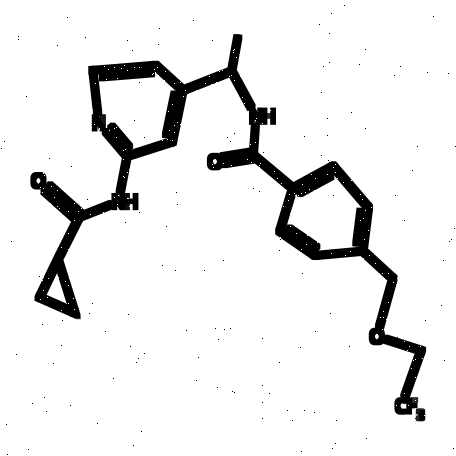 CC(NC(=O)c1ccc(COCC(F)(F)F)cc1)c1ccnc(NC(=O)C2CC2)c1